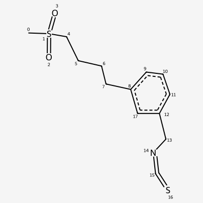 CS(=O)(=O)CCCCc1cccc(CN=C=S)c1